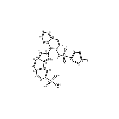 Cc1ccc(S(=O)(=O)Oc2ccc3ccccc3c2-n2nc3ccc4ccc(S(=O)(=O)O)cc4c3n2)cc1